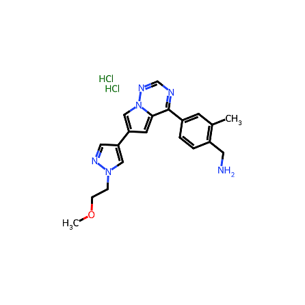 COCCn1cc(-c2cc3c(-c4ccc(CN)c(C)c4)ncnn3c2)cn1.Cl.Cl